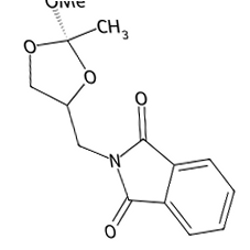 CO[C@@]1(C)OCC(CN2C(=O)c3ccccc3C2=O)O1